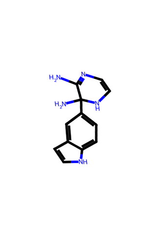 NC1=NC=CNC1(N)c1ccc2[nH]ccc2c1